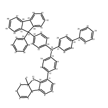 CC12CCC=CC1c1cccc(-c3ccc(N(c4ccc(-c5ccccc5)cc4)c4ccc(C5(c6ccccc6)c6ccccc6-c6ccccc65)cc4)cc3)c1S2